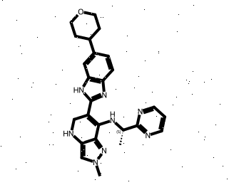 C[C@H](NC1=C(c2nc3ccc(C4CCOCC4)cc3[nH]2)CNc2cn(C)nc21)c1ncccn1